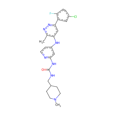 Cc1nnc(-c2cc(Cl)ccc2F)cc1Nc1ccnc(NC(=O)NCC2CCN(C)CC2)c1